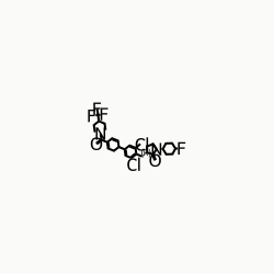 O=C(C1=CCC(c2cc(Cl)c(C[C@@H]3CCN(C4CCC(F)CC4)C3=O)c(Cl)c2)C=C1)N1CCC(C(F)(F)F)CC1